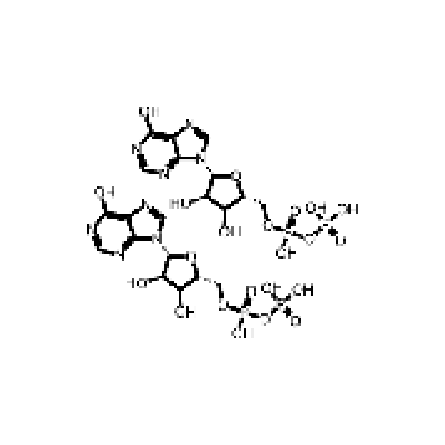 O=P(O)(O)OP(=O)(O)OC[C@H]1O[C@@H](n2cnc3c(O)ncnc32)[C@H](O)[C@@H]1O.O=P(O)(O)OP(=O)(O)OC[C@H]1O[C@@H](n2cnc3c(O)ncnc32)[C@H](O)[C@@H]1O